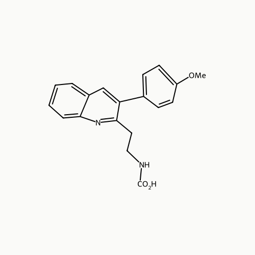 COc1ccc(-c2cc3ccccc3nc2CCNC(=O)O)cc1